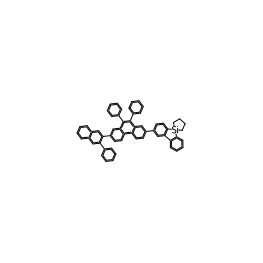 c1ccc(-c2cc3ccccc3cc2-c2ccc3c(c2)c(-c2ccccc2)c(-c2ccccc2)c2cc(-c4ccc5c(c4)-c4ccccc4[Si]54CCCC4)ccc23)cc1